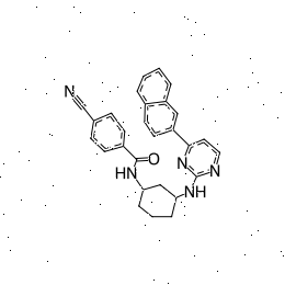 N#Cc1ccc(C(=O)NC2CCCC(Nc3nccc(-c4ccc5ccccc5c4)n3)C2)cc1